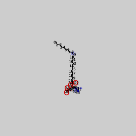 CCCCCCCC/C=C\CCCCCCCCCCCC(=O)OC(CC(=O)[O-])C[N+](C)(C)C